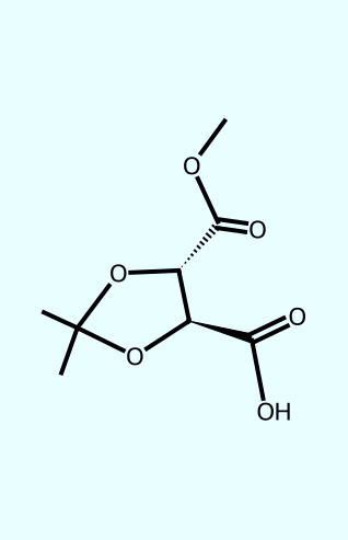 COC(=O)[C@H]1OC(C)(C)O[C@@H]1C(=O)O